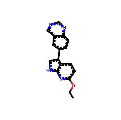 CCOc1ccc2c(-c3ccc4ncncc4c3)c[nH]c2n1